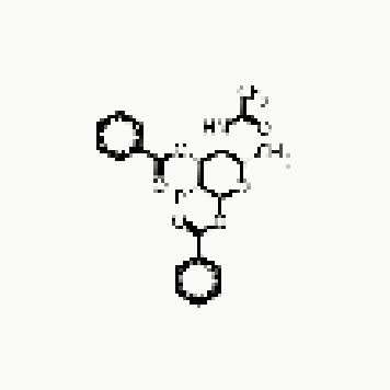 C[C@@H]1OC(OC(=O)c2ccccc2)[C@H](F)[C@H](OC(=O)c2ccccc2)[C@@H]1NC(=O)C(F)(F)F